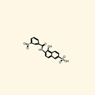 O=C(Nc1ccc2cc(S(=O)(=O)O)ccc2c1O)c1cccc([N+](=O)[O-])c1